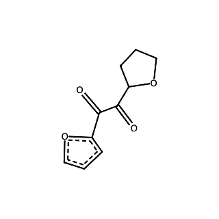 O=C(C(=O)C1CCCO1)c1ccco1